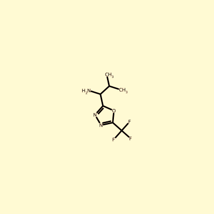 CC(C)C(N)c1nnc(C(F)(F)F)o1